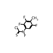 Cc1c(F)cc(N(F)C(=S)Cl)c(F)c1F